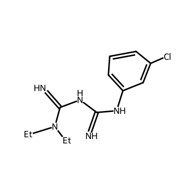 CCN(CC)C(=N)NC(=N)Nc1cccc(Cl)c1